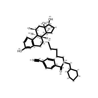 C[C@]12C[C@H](F)[C@@H]3c4ccc(O)cc4C[C@@H](CCCCCN(CC4CCCCC4)C(=O)c4ccc(C#N)cc4)[C@H]3[C@@H]1CC[C@@H]2O